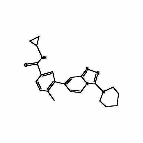 Cc1ccc(C(=O)NC2CC2)cc1-c1ccn2c(N3CCCCC3)nnc2c1